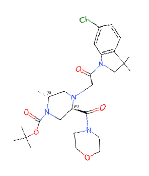 C[C@@H]1CN(CC(=O)N2CC(C)(C)c3ccc(Cl)cc32)[C@@H](C(=O)N2CCOCC2)CN1C(=O)OC(C)(C)C